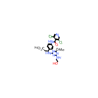 COc1nc(NCCO)nc(NC(CC(=O)O)c2ccc(NC(=O)c3c(Cl)cncc3Cl)cc2)n1